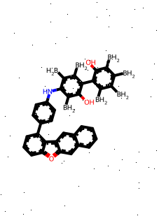 Bc1c(B)c(B)c(-c2c(B)c(B)c(Nc3ccc(-c4cccc5oc6cc7ccccc7cc6c45)cc3)c(B)c2O)c(O)c1B